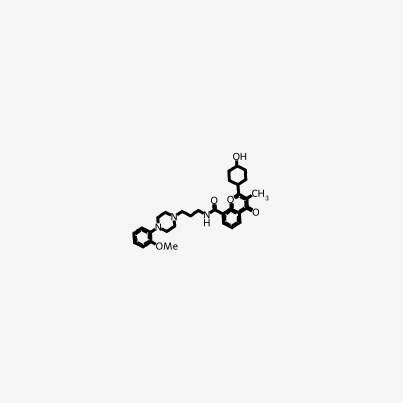 COc1ccccc1N1CCN(CCCNC(=O)c2cccc3c(=O)c(C)c(C4CCC(O)CC4)oc23)CC1